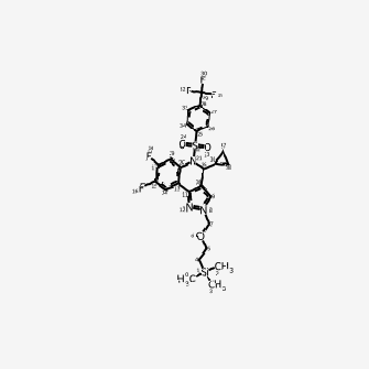 C[Si](C)(C)CCOCn1cc2c(n1)-c1cc(F)c(F)cc1N(S(=O)(=O)c1ccc(C(F)(F)F)cc1)C2C1CC1